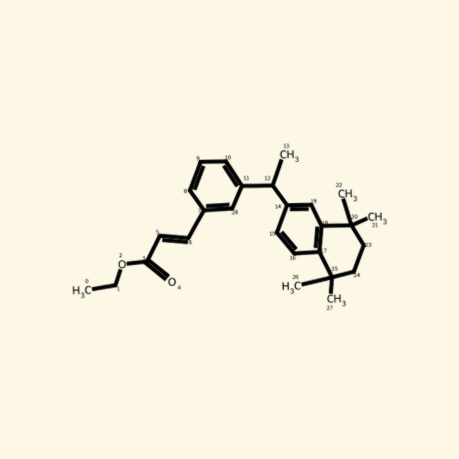 CCOC(=O)C=Cc1cccc(C(C)c2ccc3c(c2)C(C)(C)CCC3(C)C)c1